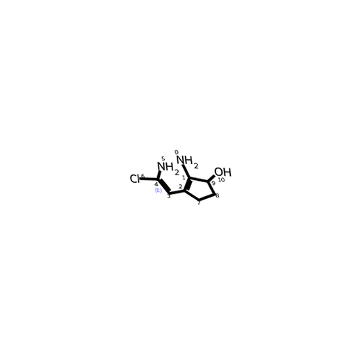 NC1=C(/C=C(\N)Cl)CCC1O